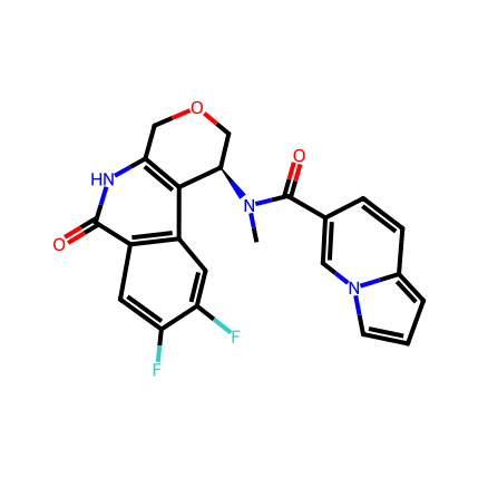 CN(C(=O)c1ccc2cccn2c1)[C@@H]1COCc2[nH]c(=O)c3cc(F)c(F)cc3c21